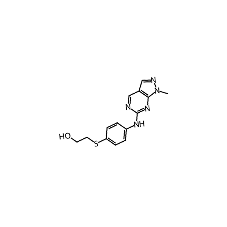 Cn1ncc2cnc(Nc3ccc(SCCO)cc3)nc21